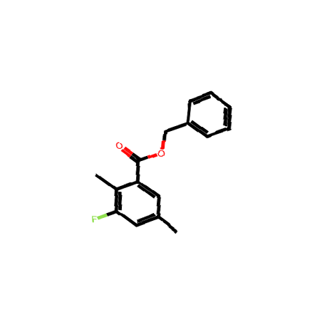 Cc1cc(F)c(C)c(C(=O)OCc2ccccc2)c1